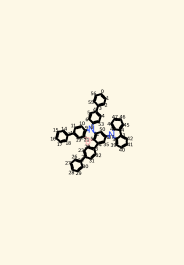 c1ccc(-c2ccc(N3c4ccc(-c5ccccc5)cc4B4c5cc(-c6ccccc6)ccc5-c5cc(-n6c7ccccc7c7ccccc76)cc3c54)cc2)cc1